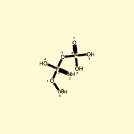 CCCCOP(=N)(O)OP(=O)(O)O